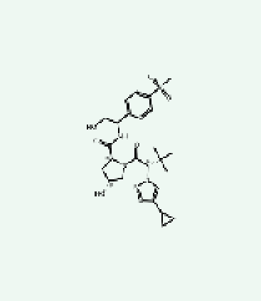 CC(C)(C)[C@@H](C(=O)N1C[C@H](O)C[C@H]1C(=O)NC(CO)c1ccc(S(C)(=O)=O)cc1)n1cc(C2CC2)nn1